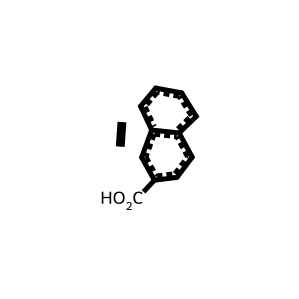 C=C.O=C(O)c1ccc2ccccc2c1